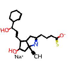 C#CC12CC(O)C(C=C[C@@H](O)C3CCCCC3)C1CC(CCCC([O-])=S)=N2.[Na+]